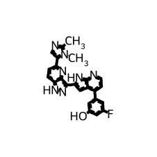 Cc1ncc(-c2ccc3[nH]nc(-c4cc5c(-c6cc(O)cc(F)c6)ccnc5[nH]4)c3n2)n1C